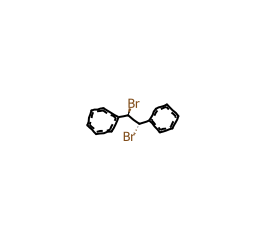 Br[C@H](c1ccccc1)[C@@H](Br)c1ccccc1